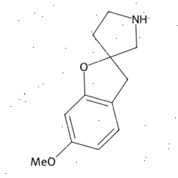 COc1ccc2c(c1)OC1(CCNC1)C2